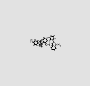 Nc1ccccc1CCc1ccccc1C[C@H]1CCC[C@@H](NS(=O)(=O)c2ccc(OC(F)(F)F)cc2)[C@@H]1O